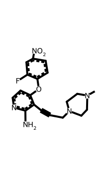 CN1CCN(CC#Cc2c(Oc3ccc([N+](=O)[O-])cc3F)ccnc2N)CC1